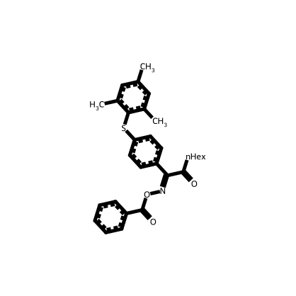 CCCCCCC(=O)C(=NOC(=O)c1ccccc1)c1ccc(Sc2c(C)cc(C)cc2C)cc1